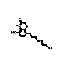 O=C1CCc2c(CCCCNCCO)ccc(O)c2N1